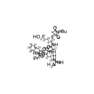 CCCCN1C(=O)CC(SCC(CCCC(=O)O)NC(=O)C(C)NC(=O)C(CCCNC(=N)N)NC(=O)C(Cc2ccccc2)NC(=O)C(C)C)C1=O